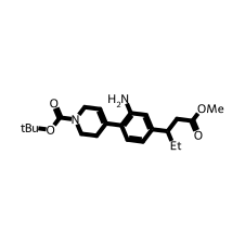 CCC(CC(=O)OC)c1ccc(C2=CCN(C(=O)OC(C)(C)C)CC2)c(N)c1